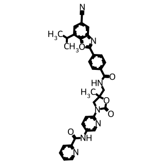 CC(C)c1cc(C#N)cc2nc(-c3ccc(C(=O)NCC4(C)CN(c5ccc(NC(=O)c6ccccn6)cn5)C(=O)O4)cc3)oc12